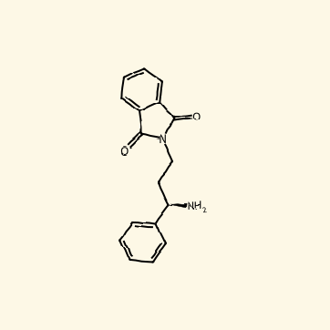 N[C@H](CCN1C(=O)c2ccccc2C1=O)c1ccccc1